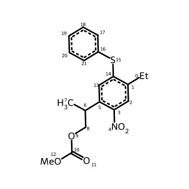 CCc1cc([N+](=O)[O-])c(C(C)COC(=O)OC)cc1Sc1ccccc1